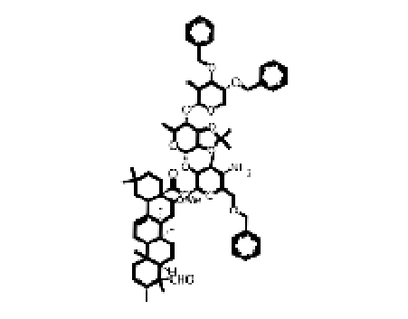 COC1C[C@]2(C)C(=CCC3C4(C)CC[C@H](C)[C@](C)(C=O)[C@@H]4CC[C@@]32C)C2CC(C)(C)CC[C@]12C(=O)O[C@@H]1OC(COCc2ccccc2)[C@H](N)C(C)C1O[C@@H]1OC(C)[C@H](O[C@@H]2OC[C@@H](OCc3ccccc3)C(OCc3ccccc3)C2C)C2OC(C)(C)OC21